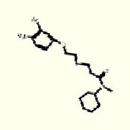 CC(=O)c1cc(OCCCCCC(=O)N(C)C2CCCCC2)ccc1[N+](=O)[O-]